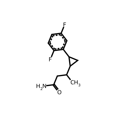 CC(CC(N)=O)C1CC1c1cc(F)ccc1F